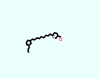 CCCC1CCCC(CCCCCCCCCC2CCC(C=O)CC2)C1